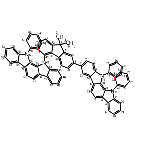 CC1(C)c2cc(-c3ccc4c(c3)c3ccc5c6ccccc6n(-c6ccccc6)c5c3n4-c3ccccc3)ccc2-c2c(-n3c4ccccc4c4ccc5c6ccccc6n(-c6ccccc6)c5c43)cccc21